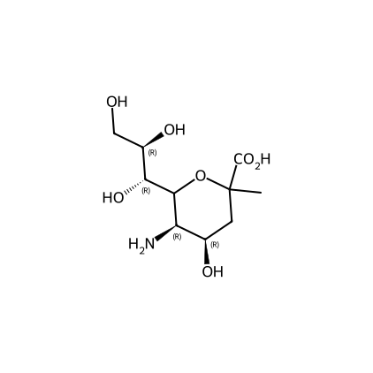 CC1(C(=O)O)C[C@@H](O)[C@@H](N)C([C@H](O)[C@H](O)CO)O1